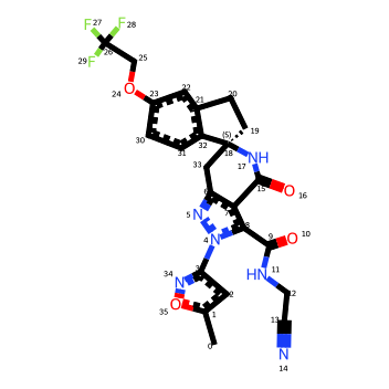 Cc1cc(-n2nc3c(c2C(=O)NCC#N)C(=O)N[C@@]2(CCc4cc(OCC(F)(F)F)ccc42)C3)no1